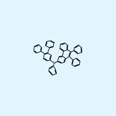 c1ccc(-c2ccc(N(c3ccccc3)c3ccc4c(-c5ccccc5)c(-c5ccccc5)c5ccccc5c4c3)cc2-c2ccccc2)cc1